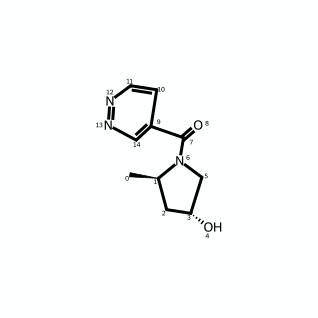 C[C@@H]1C[C@@H](O)CN1C(=O)c1ccnnc1